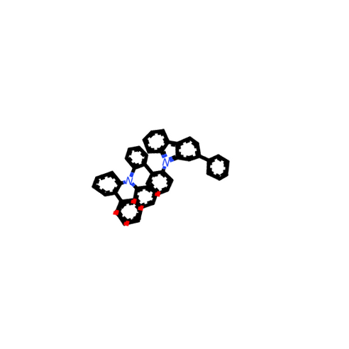 c1ccc(-c2ccc3c4ccccc4n(-c4ccccc4-c4ccccc4N(c4ccccc4-c4ccccc4)c4cccc5ccccc45)c3c2)cc1